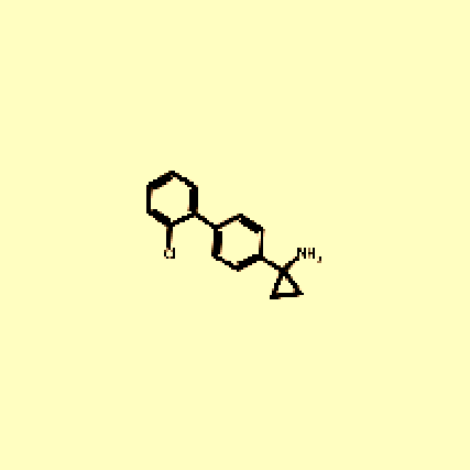 NC1(c2ccc(-c3ccccc3Cl)cc2)CC1